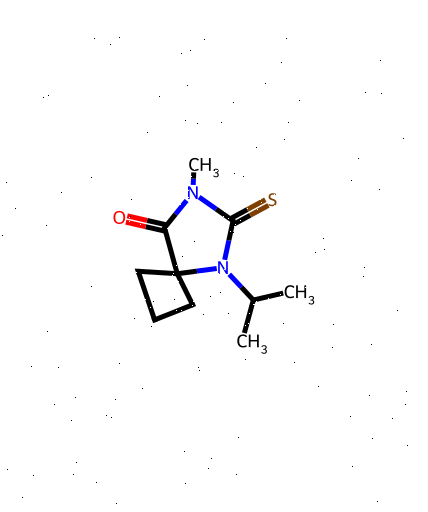 CC(C)N1C(=S)N(C)C(=O)C12CCC2